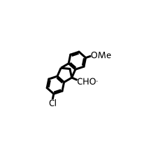 COc1ccc2c(c1)C1([C]=O)CC2c2ccc(Cl)cc21